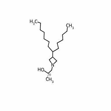 CCCCCCCC(CCCCCC)C1CN(C[C@H](C)O)C1